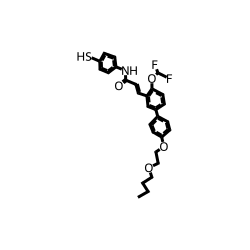 CCCCOCCOc1ccc(-c2ccc(OC(F)F)c(/C=C/C(=O)Nc3ccc(S)cc3)c2)cc1